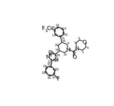 O=C(N1CCOCC1)N1CC(c2cccc(C(F)(F)F)c2)CC(c2nc(-c3cccc(F)c3)no2)C1